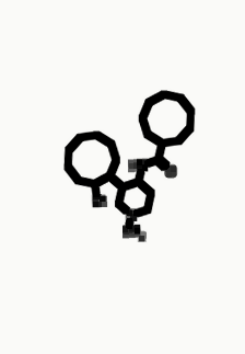 CCC1CCCCCCCC1C1CN(P)CCC1NC(=O)C1CCCCCCCC1